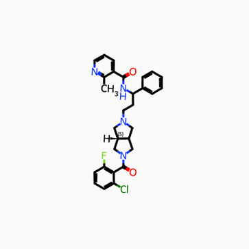 Cc1ncccc1C(=O)NC(CCN1CC2CN(C(=O)c3c(F)cccc3Cl)C[C@@H]2C1)c1ccccc1